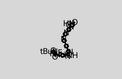 CC(C)(C)c1nc(C(=O)NCc2ccc(-c3n[nH]c4ncc(-c5ccc(C6CCN(CC7CCN(c8ccc(N9CCC(=O)NC9=O)cc8)CC7)CC6)cc5)cc34)cc2F)no1